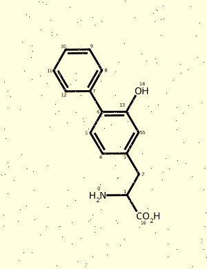 NC(Cc1ccc(-c2ccccc2)c(O)c1)C(=O)O